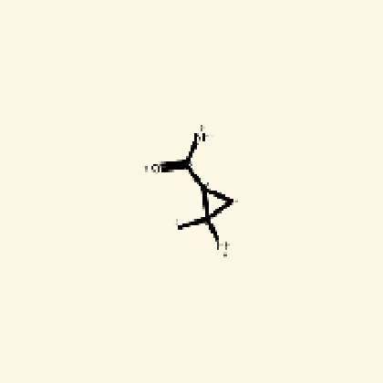 CCC1(C)CC1C([NH])=O